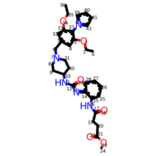 CCOc1cc(CN2CCC(Nc3nc4c(NC(=O)CCC(=O)OC)cccc4o3)CC2)cc(OCC)c1-n1cccc1